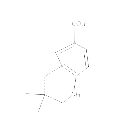 CCOC(=O)c1ccc2c(c1)CC(C)(C)CN2